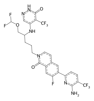 Nc1nc(-c2cc3ccn(CCCC(COC(F)F)Nc4cn[nH]c(=O)c4C(F)(F)F)c(=O)c3cc2F)ccc1C(F)(F)F